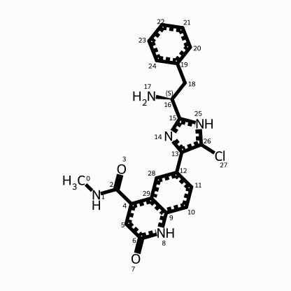 CNC(=O)c1cc(=O)[nH]c2ccc(-c3nc([C@@H](N)Cc4ccccc4)[nH]c3Cl)cc12